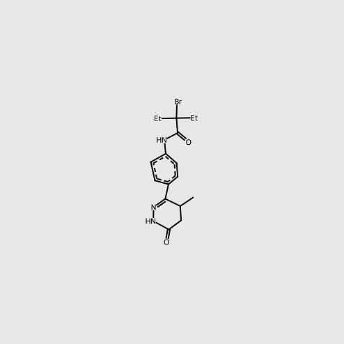 CCC(Br)(CC)C(=O)Nc1ccc(C2=NNC(=O)CC2C)cc1